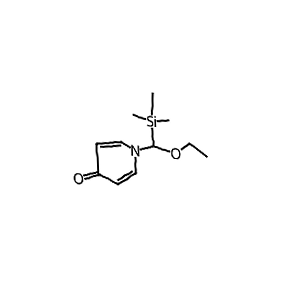 CCOC(n1ccc(=O)cc1)[Si](C)(C)C